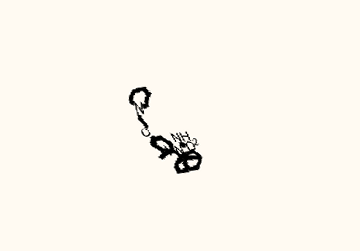 Cc1cc(OCCN2CCCCC2)ccc1C1C2CC3CC(C2)C(NC(N)=O)C1C3